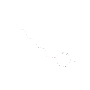 COCCOCCOC1C=CC(C)=CC1